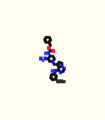 COc1cccc(Nc2ncnn3ccc(CN4CC[C@@H](NC(=O)OCc5ccccc5)[C@@H](N)C4)c23)c1